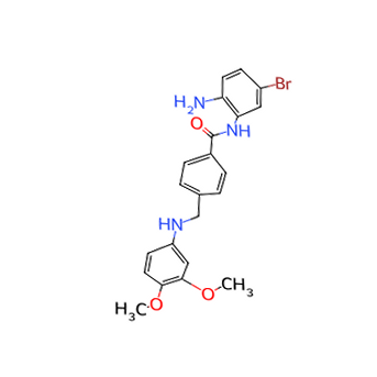 COc1ccc(NCc2ccc(C(=O)Nc3cc(Br)ccc3N)cc2)cc1OC